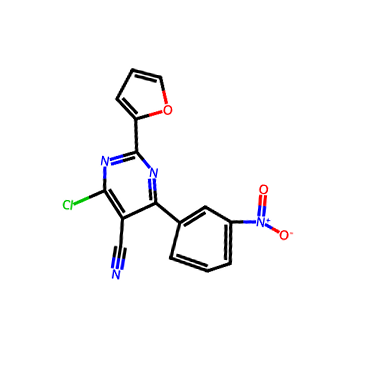 N#Cc1c(Cl)nc(-c2ccco2)nc1-c1cccc([N+](=O)[O-])c1